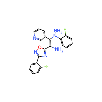 N/C(=C(/c1cccnc1)N(N)c1ccccc1F)c1nc(-c2ccccc2F)no1